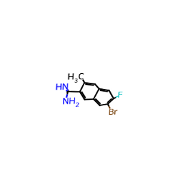 Cc1cc2cc(F)c(Br)cc2cc1C(=N)N